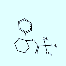 CC(C)(C)C(=O)OC1(c2ccccc2)CCCCC1